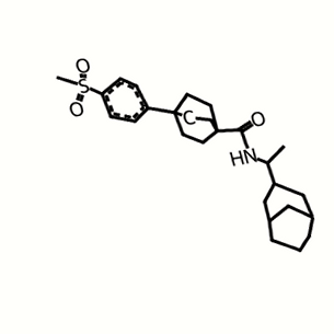 CC(NC(=O)C12CCC(c3ccc(S(C)(=O)=O)cc3)(CC1)CC2)C1CC2CCCC(C2)C1